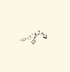 Cc1c[nH]nc1C(=O)N[C@@H]1CC(C)(C)Oc2nc(-c3ccc(-c4cn[nH]c4)cc3Cl)c(-c3ccc(Cl)cc3)cc21